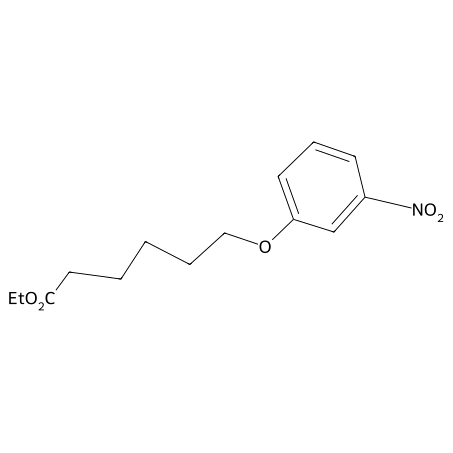 CCOC(=O)CCCCCOc1cccc([N+](=O)[O-])c1